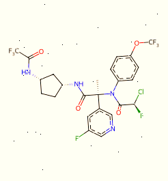 C[C@@](C(=O)N[C@@H]1CC[C@H](NC(=O)C(F)(F)F)C1)(c1cncc(F)c1)N(C(=O)[C@H](F)Cl)c1ccc(OC(F)(F)F)cc1